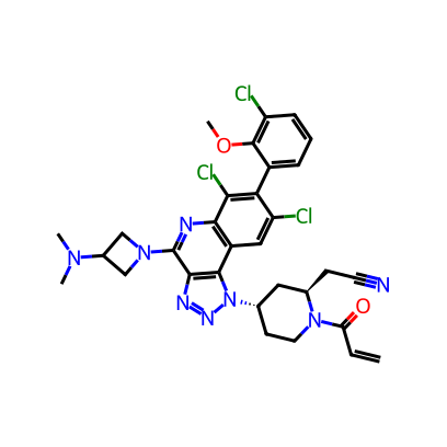 C=CC(=O)N1CC[C@H](n2nnc3c(N4CC(N(C)C)C4)nc4c(Cl)c(-c5cccc(Cl)c5OC)c(Cl)cc4c32)C[C@H]1CC#N